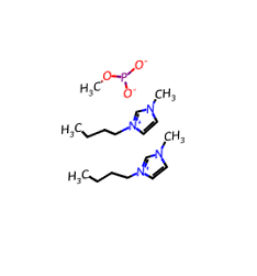 CCCC[n+]1ccn(C)c1.CCCC[n+]1ccn(C)c1.COP([O-])[O-]